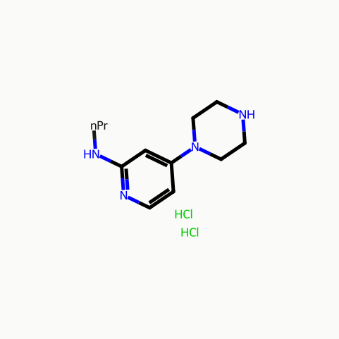 CCCNc1cc(N2CCNCC2)ccn1.Cl.Cl